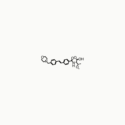 CO[C@H](C)[C@H](NC(=O)c1ccc(/C=C/c2ccc(CN3CCOCC3)cc2)cc1)C(=O)O